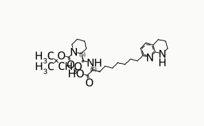 CC(C)(C)OC(=O)N1CCCC[C@H]1C(=O)N[C@@H](CCCCCCCc1ccc2c(n1)NCCC2)C(=O)O